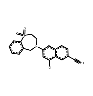 C#Cc1ccc2nc(N3CCS(=O)(=O)c4ccccc4C3)cc(Cl)c2c1